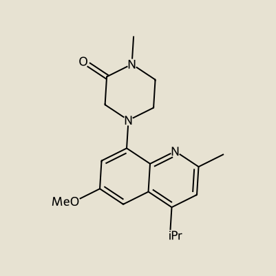 COc1cc(N2CCN(C)C(=O)C2)c2nc(C)cc(C(C)C)c2c1